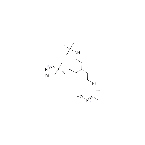 C/C(=N/O)C(C)(C)NCCC(CCNC(C)(C)C)CCNC(C)(C)/C(C)=N\O